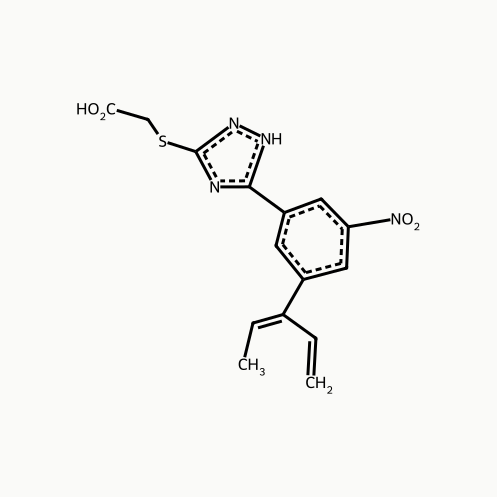 C=C/C(=C\C)c1cc(-c2nc(SCC(=O)O)n[nH]2)cc([N+](=O)[O-])c1